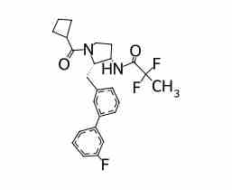 CC(F)(F)C(=O)N[C@H]1CCN(C(=O)C2CCC2)[C@H]1Cc1cccc(-c2cccc(F)c2)c1